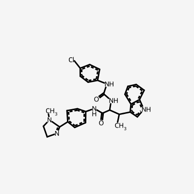 CC(c1c[nH]c2ccccc12)C(NC(=O)Nc1ccc(Cl)cc1)C(=O)Nc1ccc(C2=NCCN2C)cc1